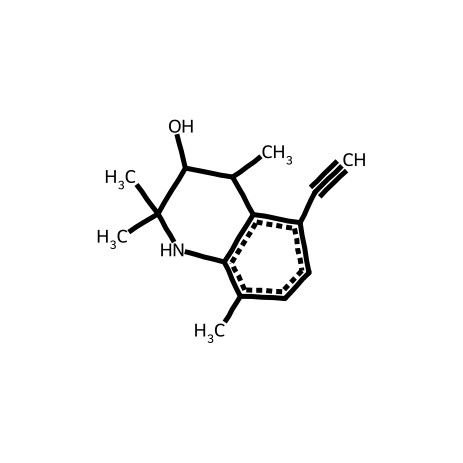 C#Cc1ccc(C)c2c1C(C)C(O)C(C)(C)N2